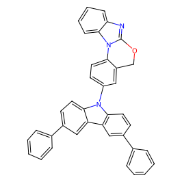 c1ccc(-c2ccc3c(c2)c2cc(-c4ccccc4)ccc2n3-c2ccc3c(c2)COc2nc4ccccc4n2-3)cc1